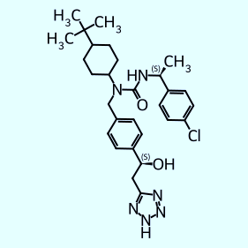 C[C@H](NC(=O)N(Cc1ccc([C@@H](O)Cc2nn[nH]n2)cc1)C1CCC(C(C)(C)C)CC1)c1ccc(Cl)cc1